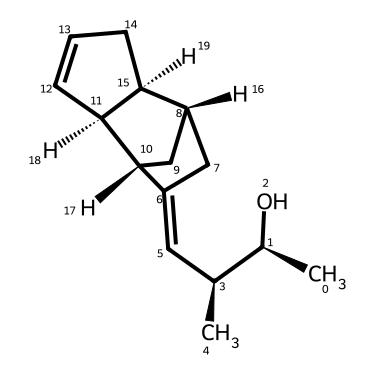 C[C@H](O)[C@@H](C)/C=C1\C[C@@H]2C[C@H]1[C@H]1C=CC[C@@H]21